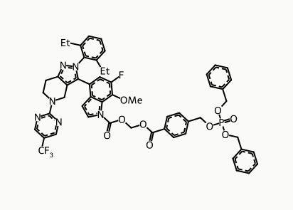 CCc1cccc(CC)c1-n1nc2c(c1-c1cc(F)c(OC)c3c1ccn3C(=O)OCOC(=O)c1ccc(COP(=O)(OCc3ccccc3)OCc3ccccc3)cc1)CN(c1ncc(C(F)(F)F)cn1)CC2